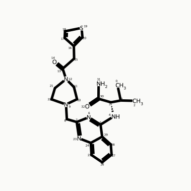 CC(C)[C@H](Nc1nc(CN2CCN(C(=O)Cc3ccsc3)CC2)nc2ccccc12)C(N)=O